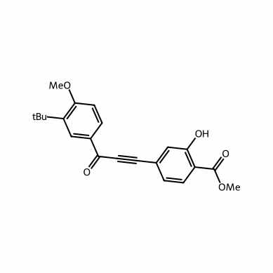 COC(=O)c1ccc(C#CC(=O)c2ccc(OC)c(C(C)(C)C)c2)cc1O